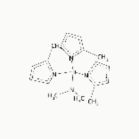 Cc1ccc[n]1[Ti]([N](C)C)([n]1cccc1C)[n]1cccc1C